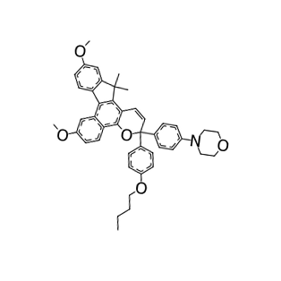 CCCCOc1ccc(C2(c3ccc(N4CCOCC4)cc3)C=Cc3c4c(c5cc(OC)ccc5c3O2)-c2ccc(OC)cc2C4(C)C)cc1